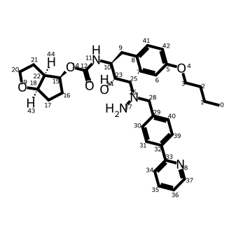 CCCCOc1ccc(C[C@H](NC(=O)O[C@H]2CC[C@H]3OCC[C@@H]23)[C@@H](O)CN(N)Cc2ccc(-c3ccccn3)cc2)cc1